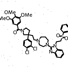 COc1cc(C(=O)N2CCC(CCN3CCCN(c4nc5ccccc5n4CCS(=O)(=O)c4ccccc4)CC3)(c3ccc(Cl)c(Cl)c3)C2)cc(OC)c1OC